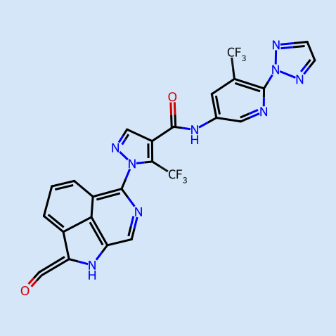 O=C=c1[nH]c2cnc(-n3ncc(C(=O)Nc4cnc(-n5nccn5)c(C(F)(F)F)c4)c3C(F)(F)F)c3cccc1c23